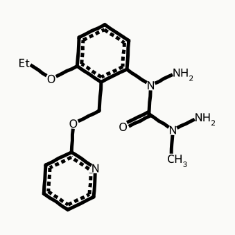 CCOc1cccc(N(N)C(=O)N(C)N)c1COc1ccccn1